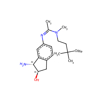 COC(C)(C)CCN(C)C(C)=Nc1ccc2c(c1)[C@@H](N)[C@H](O)C2